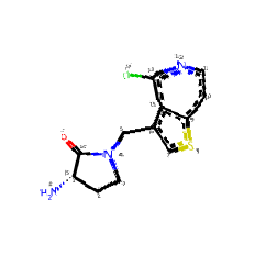 N[C@H]1CCN(Cc2csc3ccnc(Cl)c23)C1=O